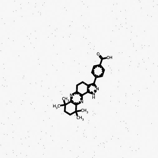 CC1(C)CCC(C)(C)c2nc3c(nc21)CCc1c(-c2ccc(C(=O)O)cc2)n[nH]c1-3